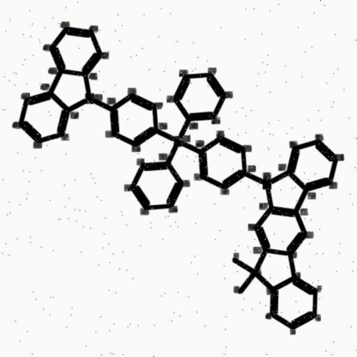 CC1(C)c2ccccc2-c2cc3c4ccccc4n(-c4ccc([Si](c5ccccc5)(c5ccccc5)c5ccc(-n6c7ccccc7c7ccccc76)cc5)cc4)c3cc21